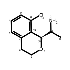 CC(N)[C@H]1OCCc2cccc(Cl)c21